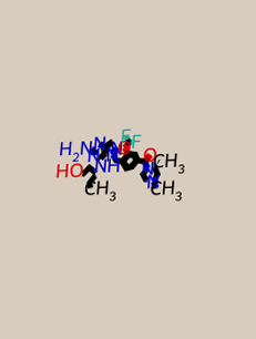 CCC[C@@H](CCO)Nc1nc(N)nc2cnn(Cc3ccc(C(=O)N4CCN(C)C[C@H]4C)cc3OC(F)F)c12